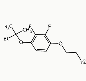 CCCCCCCCCCCCOc1ccc(OC(C)(C)CC)c(F)c1F